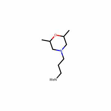 CNCCCN1CC(C)OC(C)C1